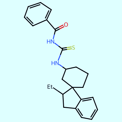 CCC1Cc2ccccc2C12CCCC(NC(=S)NC(=O)c1ccccc1)C2